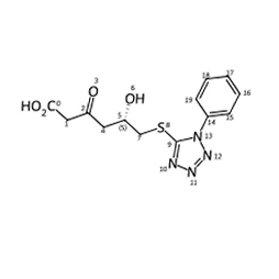 O=C(O)CC(=O)C[C@H](O)CSc1nnnn1-c1ccccc1